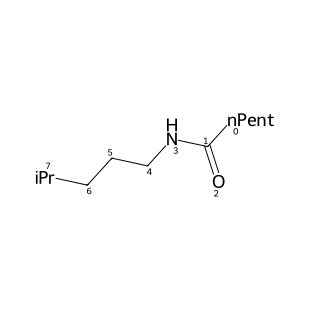 CCCCCC(=O)NCCCC(C)C